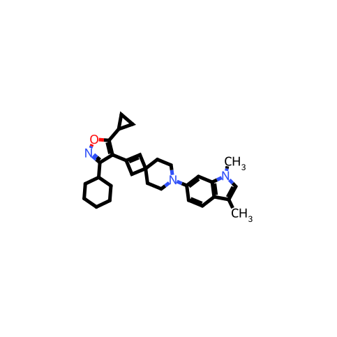 Cc1cn(C)c2cc(N3CCC4(C=C(c5c(C6CCCCC6)noc5C5CC5)C4)CC3)ccc12